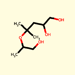 CC(CO)OC(C)(C)CC(O)CO